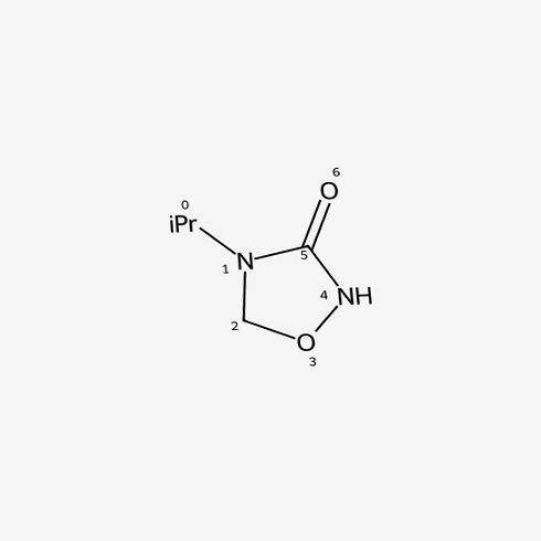 CC(C)N1CONC1=O